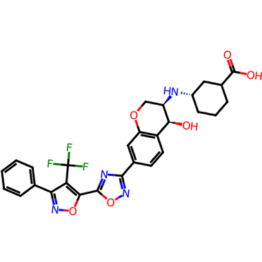 O=C(O)C1CCC[C@H](N[C@@H]2COc3cc(-c4noc(-c5onc(-c6ccccc6)c5C(F)(F)F)n4)ccc3[C@@H]2O)C1